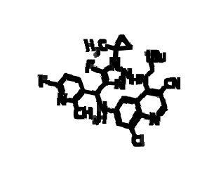 Cc1nc(F)ccc1C(Nc1cc(Cl)c2ncc(C#N)c(NCC(C)(C)C)c2c1)c1nnn(C2(C)CC2)c1F